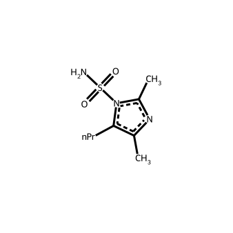 CCCc1c(C)nc(C)n1S(N)(=O)=O